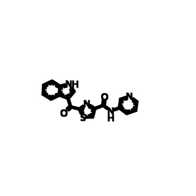 O=C(Nc1cccnc1)c1csc(C(=O)c2c[nH]c3ccccc23)n1